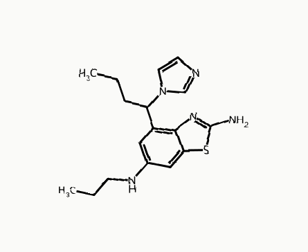 CCCNc1cc(C(CCC)n2ccnc2)c2nc(N)sc2c1